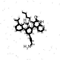 CCCCN(C(=O)Nc1c(C(C)C)cccc1C(C)C)c1c(-c2cccc(C#CCN)c2)c2cccnc2[nH]c1=O